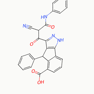 N#CC(C(=O)Nc1ccccc1)C(=O)c1n[nH]c2c1C(c1ccccc1)c1c(C(=O)O)cccc1-2